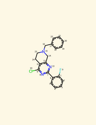 Fc1ccccc1-c1nc(Cl)c2c(n1)CN(Cc1ccccc1)CC2